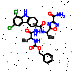 CCC(C)C(NC(=O)OCc1ccccc1)C(=O)N[C@@]1(C(=O)NC(c2nc(C(N)=O)no2)C(C)CC)CCc2[nH]c3c(Cl)cc(Cl)cc3c2C1